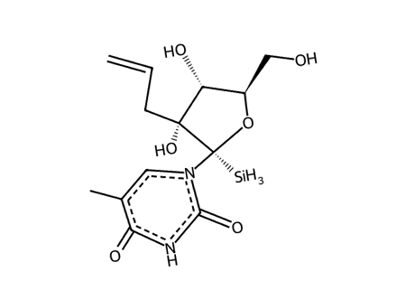 C=CC[C@@]1(O)[C@H](O)[C@@H](CO)O[C@@]1([SiH3])n1cc(C)c(=O)[nH]c1=O